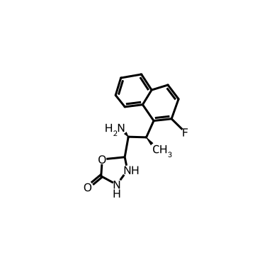 C[C@H](c1c(F)ccc2ccccc12)[C@H](N)C1NNC(=O)O1